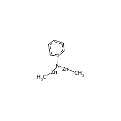 [CH3][Zn][N]([Zn][CH3])c1ccccc1